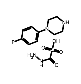 Fc1ccc(N2CCNCC2)cc1.NNC(=O)S(=O)(=O)O